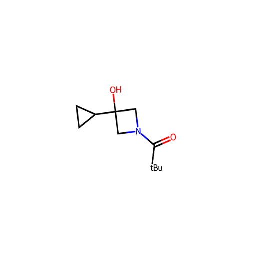 CC(C)(C)C(=O)N1CC(O)(C2CC2)C1